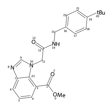 COC(=O)c1cccc2ncn(CC(=O)NCc3ccc(C(C)(C)C)cc3)c12